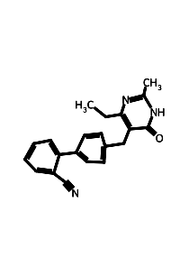 CCc1nc(C)[nH]c(=O)c1Cc1ccc(-c2ccccc2C#N)cc1